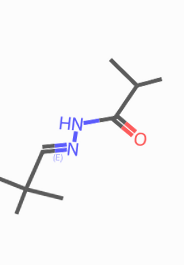 CC(C)C(=O)N/N=C/C(C)(C)C